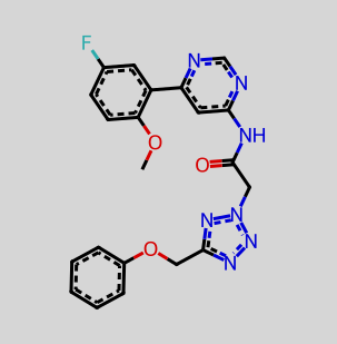 COc1ccc(F)cc1-c1cc(NC(=O)Cn2nnc(COc3ccccc3)n2)ncn1